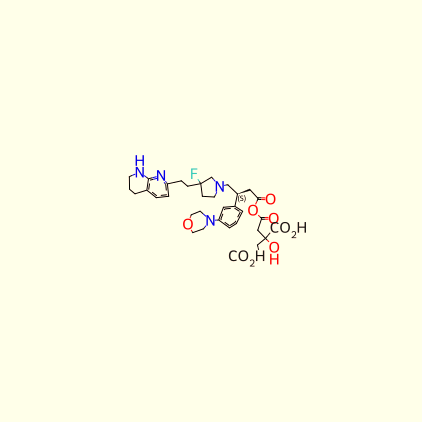 O=C(O)CC(O)(CC(=O)OC(=O)C[C@H](CN1CCC(F)(CCc2ccc3c(n2)NCCC3)C1)c1cccc(N2CCOCC2)c1)C(=O)O